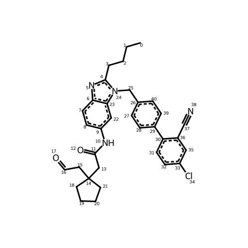 CCCCc1nc2ccc(NC(=O)CC3(CC=O)CCCC3)cc2n1Cc1ccc(-c2ccc(Cl)cc2C#N)cc1